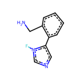 NCc1ccccc1-c1cncn1F